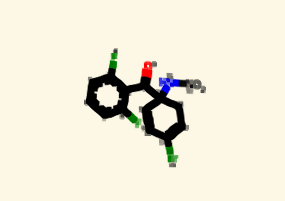 O=C(c1c(F)cccc1F)C1(N[N+](=O)[O-])C=CC(Br)=CC1